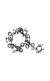 C[C@@H]1NC(=O)[C@H](C)N(C)C(=O)[C@@H]2CCCN2C[C@@H](NC(=O)OCc2ccccc2)COC(=O)[C@@H]2CCCN2C1=O